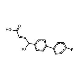 O=C(O)C=CC(O)c1ccc(-c2ccc(F)cc2)cc1